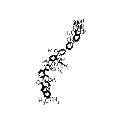 C=CC(=O)Nc1cc(Nc2nc(-c3ccnc(N4CCn5c(cc6c5CC(C)(C)C6)C4=O)c3CO)cn(C)c2=O)ccc1N1CCN(C2CCN(c3ccc(Cl)c(C(C)(C)OP(=O)(O)O)c3)[C@@H](C)C2)C[C@@H]1C